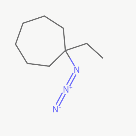 CCC1(N=[N+]=[N-])CCCCCC1